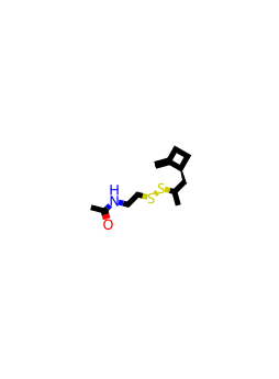 C=C1CC[C@H]1CC(C)SSCCNC(C)=O